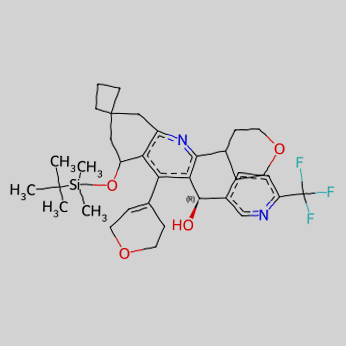 CC(C)(C)[Si](C)(C)OC1CC2(CCC2)Cc2nc(C3CCOCC3)c([C@H](O)c3ccc(C(F)(F)F)nc3)c(C3=CCOCC3)c21